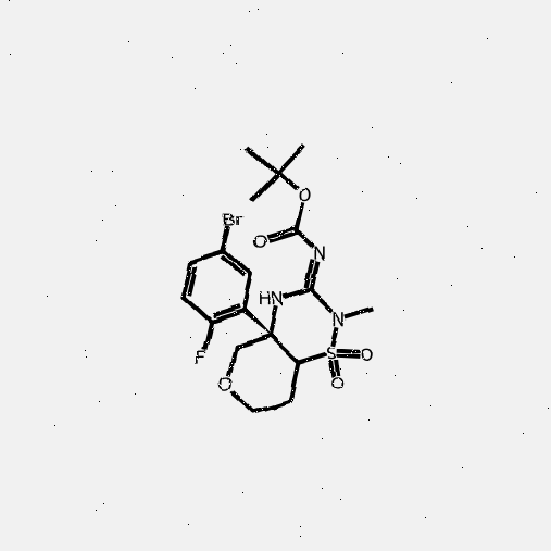 CN1/C(=N/C(=O)OC(C)(C)C)N[C@@]2(c3cc(Br)ccc3F)COCCC2S1(=O)=O